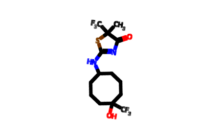 CC1(C(F)(F)F)SC(NC2CCCC(O)(C(F)(F)F)CCC2)=NC1=O